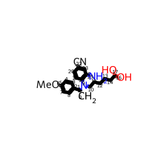 C=C(c1ccc(OC)cc1)N(CCCCCC(O)O)c1ccc(C#N)cc1N